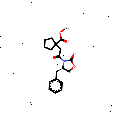 CCCCOC(=O)C1(CC(=O)N2C(=O)OC[C@H]2Cc2ccccc2)CCCC1